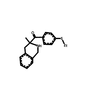 CCSc1ccc(C(=O)C2(C)Cc3ccccc3CN2)cc1